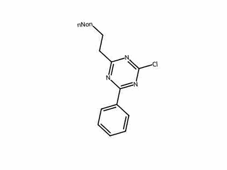 CCCCCCCCCCCc1nc(Cl)nc(-c2ccccc2)n1